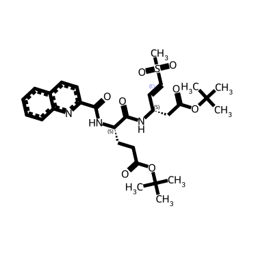 CC(C)(C)OC(=O)CC[C@H](NC(=O)c1ccc2ccccc2n1)C(=O)N[C@H](/C=C/S(C)(=O)=O)CC(=O)OC(C)(C)C